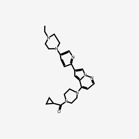 CCN1CCN(c2ccc(-c3cc4c(N5CCN(C(=O)C6CC6)CC5)ccnn4c3)nc2)CC1